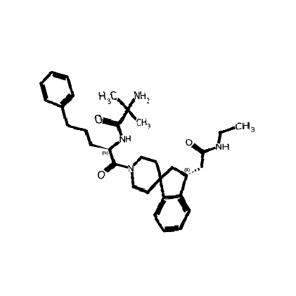 CCNC(=O)C[C@H]1CC2(CCN(C(=O)[C@@H](CCCc3ccccc3)NC(=O)C(C)(C)N)CC2)c2ccccc21